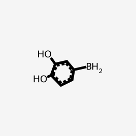 Bc1ccc(O)c(O)c1